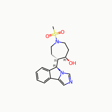 CS(=O)(=O)N1CC[C@@H]([C@@H]2c3ccccc3-c3cncn32)[C@H](O)CC1